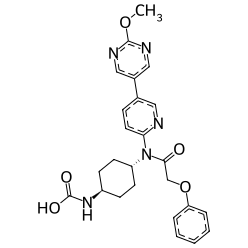 COc1ncc(-c2ccc(N(C(=O)COc3ccccc3)[C@H]3CC[C@H](NC(=O)O)CC3)nc2)cn1